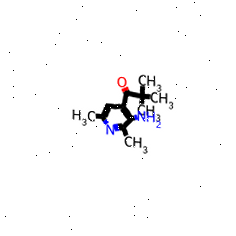 Cc1cc(C(=O)C(C)(C)C)c(N)c(C)n1